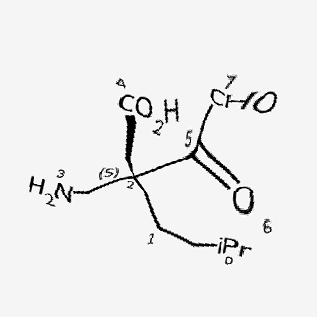 CC(C)C[C@@](N)(C(=O)O)C(=O)C=O